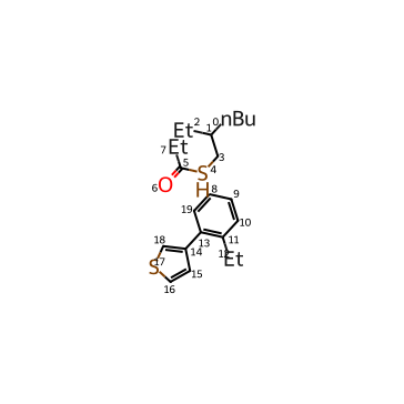 CCCCC(CC)C[SH](C(=O)CC)c1ccc(CC)c(-c2ccsc2)c1